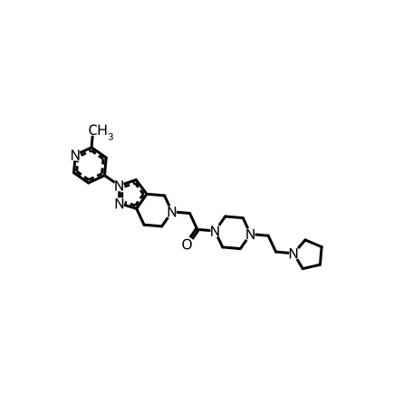 Cc1cc(-n2cc3c(n2)CCN(CC(=O)N2CCN(CCN4CCCC4)CC2)C3)ccn1